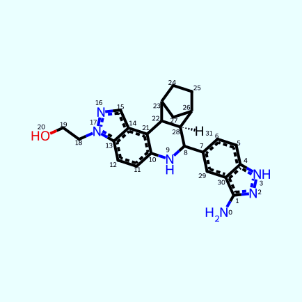 Nc1n[nH]c2ccc(C3Nc4ccc5c(cnn5CCO)c4C4C5CCC(C5)[C@@H]34)cc12